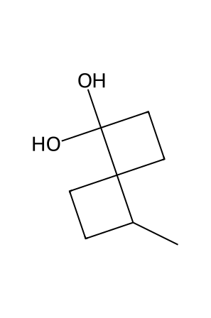 CC1CCC12CCC2(O)O